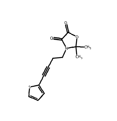 CC1(C)OC(=O)C(=O)N1CCC#Cc1cccs1